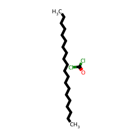 CCCCCCCCCCCCCCCCCCCC.O=C(Cl)Cl